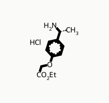 CCOC(=O)COc1ccc([C@@H](C)N)cc1.Cl